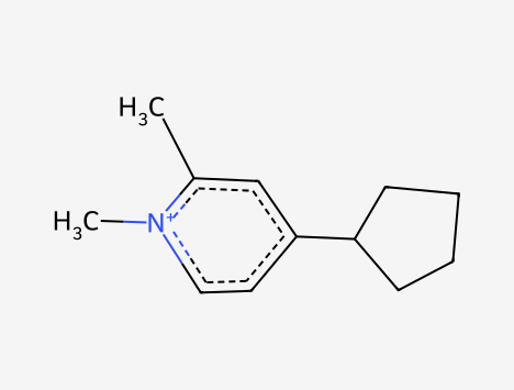 Cc1cc(C2CCCC2)cc[n+]1C